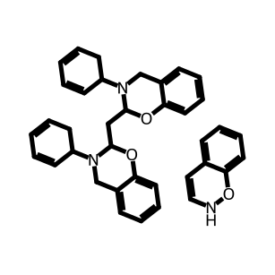 C1=CCC(N2Cc3ccccc3OC2CC2Oc3ccccc3CN2C2C=CC=CC2)C=C1.C1=Cc2ccccc2ON1